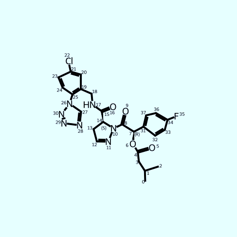 CC(C)CC(=O)O[C@@H](C(=O)N1N=CC[C@H]1C(=O)NCc1cc(Cl)ccc1-n1cnnn1)c1ccc(F)cc1